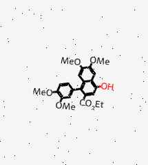 CCOC(=O)c1cc(O)c2cc(OC)c(OC)cc2c1-c1ccc(OC)c(OC)c1